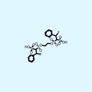 O=S(=O)(O)C(C(F)c1ccccc1)S(=O)(=O)OCCOS(=O)(=O)C(C(F)c1ccccc1)S(=O)(=O)O